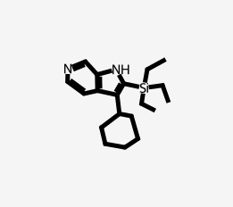 CC[Si](CC)(CC)c1[nH]c2cnccc2c1C1CCCCC1